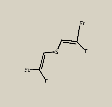 CCC(F)=CSC=C(F)CC